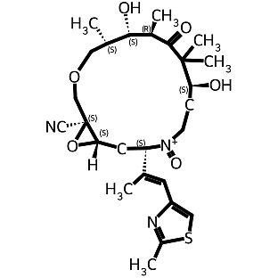 CC(=Cc1csc(C)n1)[C@@H]1C[C@@H]2O[C@@]2(C#N)COC[C@H](C)[C@H](O)[C@@H](C)C(=O)C(C)(C)[C@@H](O)CC[N+]1=O